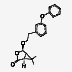 CC1(C)C2[C@H](OCCc3cccc(Oc4ccccc4)c3)OC(=O)[C@@H]21